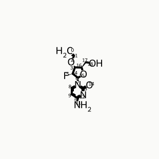 C=CO[C@H]1[C@@H](F)[C@H](n2ccc(N)nc2=O)O[C@@H]1CO